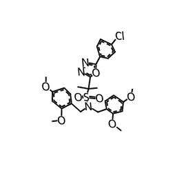 COc1ccc(CN(Cc2ccc(OC)cc2OC)S(=O)(=O)C(C)(C)c2nnc(-c3ccc(Cl)cc3)o2)c(OC)c1